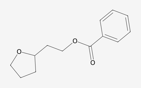 O=C(OCCC1CCCO1)c1ccccc1